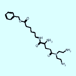 NCCN(CCN)C(=O)CCC(N)C(=O)NCCCCCC(=O)OCc1ccccc1